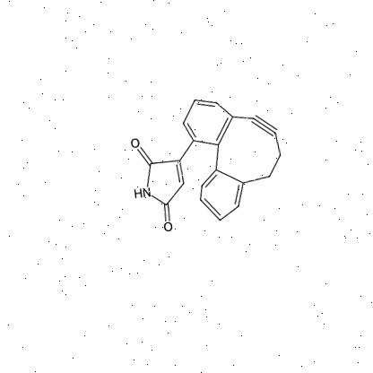 O=C1C=C(c2cccc3c2-c2ccccc2CCC#C3)C(=O)N1